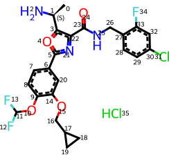 C[C@H](N)c1oc(-c2ccc(OC(F)F)c(OCC3CC3)c2)nc1C(=O)NCc1ccc(Cl)cc1F.Cl